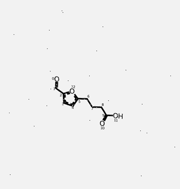 O=Cc1ccc(CCCC(=O)O)o1